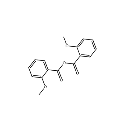 COc1ccccc1C(=O)OC(=O)c1ccccc1OC